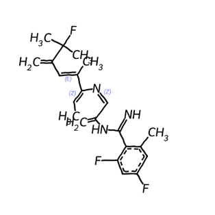 C=C(\C=N/C(=C\C)C(/C)=C/C(=C)C(C)(C)F)NC(=N)c1c(C)cc(F)cc1F